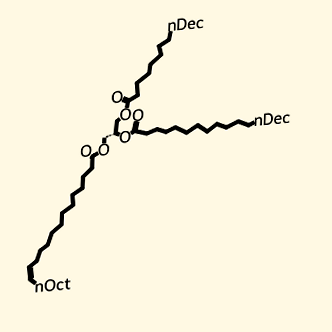 CCCCCCCC/C=C\CCCCCCCCCCCC(=O)OC[C@H](COC(=O)CCCCCCCCCCCCCCCCC)OC(=O)CCCCCCCCCCCCCCCCCCCCC